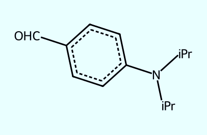 CC(C)N(c1ccc(C=O)cc1)C(C)C